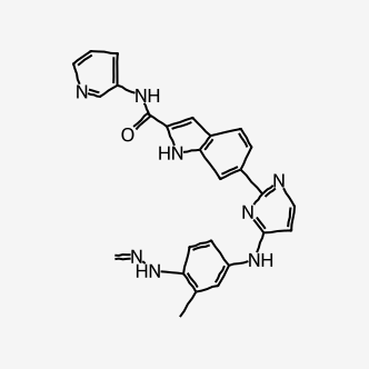 C=NNc1ccc(Nc2ccnc(-c3ccc4cc(C(=O)Nc5cccnc5)[nH]c4c3)n2)cc1C